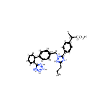 CC(C)CCc1nc(-c2ccc(C(C)C(=O)O)cc2)n(Cc2ccc(-c3ccccc3-c3nnn[nH]3)cc2)n1